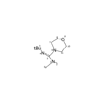 CN(C)/C(=N/C(C)(C)C)N1CCOCC1